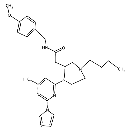 CCCCN1CCN(c2cc(C)nc(-n3ccnc3)n2)C(CC(=O)NCc2ccc(OC)cc2)C1